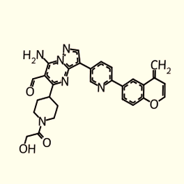 C=C1C=COc2ccc(-c3ccc(-c4cnn5c(N)c(C=O)c(C6CCN(C(=O)CO)CC6)nc45)cn3)cc21